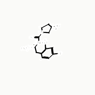 O=C(O)[C@@H](Cc1ccc(Cl)cc1Cl)NC(=O)N1CC[C@H](O)C1